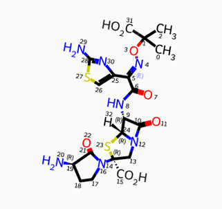 CC(C)(O/N=C(/C(=O)N[C@@H]1C(=O)N2C[C@@](C(=O)O)(N3CC[C@@H](N)C3=O)S[C@H]12)c1csc(N)n1)C(=O)O